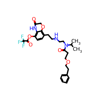 CC(C)N(CCNCCc1ccc(OC(=O)C(F)(F)F)c2c1OCC(=O)N2)C(=O)CCOCCc1ccccc1